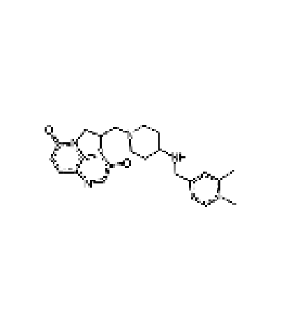 Cc1ccc(CNC2CCN(CC3Cn4c(=O)ccc5ncc(=O)n3c54)CC2)cc1C